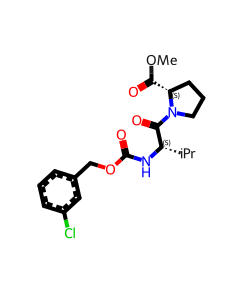 COC(=O)[C@@H]1CCCN1C(=O)[C@@H](NC(=O)OCc1cccc(Cl)c1)C(C)C